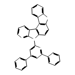 c1ccc(-c2cc(-c3ccccc3)nc(-n3c4ccc5sc6ccccc6c5c4c4cccnc43)c2)cc1